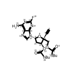 C#C[C@]1(COC(=O)CCCC)O[C@@H](n2cnc3c(N)nc(F)nc32)C[C@@H]1OC(=O)CCCC